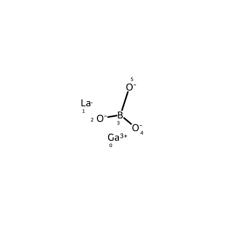 [Ga+3].[La].[O-]B([O-])[O-]